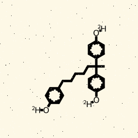 [2H]Oc1ccc(CCCCCC(C)(c2ccc(O[2H])cc2)c2ccc(O[2H])cc2)cc1